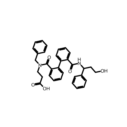 O=C(O)CCN(Cc1ccccc1)C(=O)c1ccccc1-c1ccccc1C(=O)NC(CCO)c1ccccc1